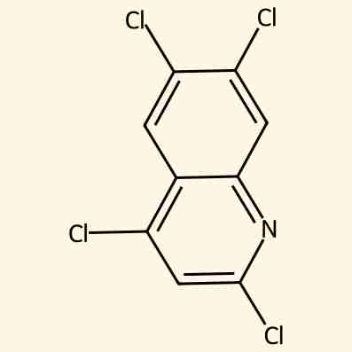 Clc1cc(Cl)c2cc(Cl)c(Cl)cc2n1